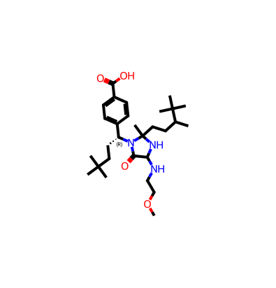 COCCNC1NC(C)(CCC(C)C(C)(C)C)N([C@H](CCC(C)(C)C)c2ccc(C(=O)O)cc2)C1=O